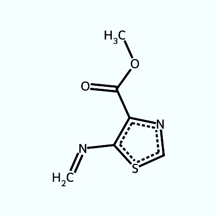 C=Nc1scnc1C(=O)OC